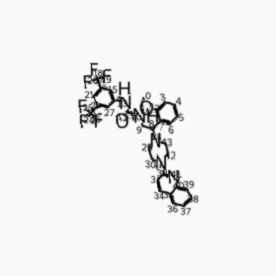 COc1ccccc1C(CNC(=O)Nc1cc(C(F)(F)F)cc(C(F)(F)F)c1)N1CCN(c2ccc3ccccc3n2)CC1